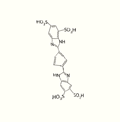 O=S(=O)(O)c1cc(S(=O)(=O)O)c2[nH]c(-c3ccc(-c4nc5cc(S(=O)(=O)O)c(S(=O)(=O)O)cc5[nH]4)cc3)nc2c1